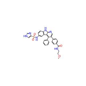 COCCNC(=O)c1ccc(-c2cnc3[nH]c4ccc(NS(=O)(=O)c5c[nH]cn5)cc4c3c2-c2ccccc2)cc1